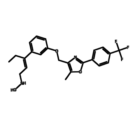 CCC(=CCNO)c1cccc(OCc2nc(-c3ccc(C(F)(F)F)cc3)oc2C)c1